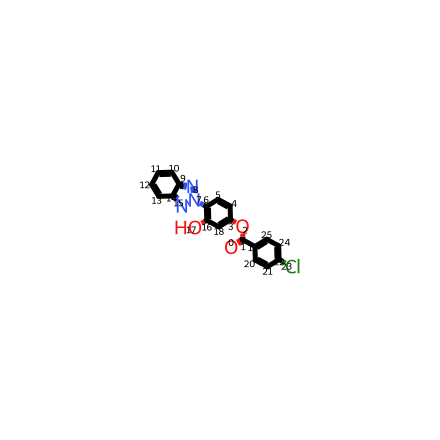 O=C(Oc1ccc(-n2nc3ccccc3n2)c(O)c1)c1ccc(Cl)cc1